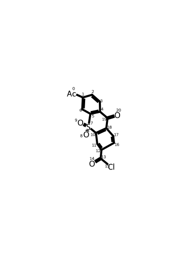 CC(=O)c1ccc2c(c1)S(=O)(=O)c1cc(C(=O)Cl)ccc1C2=O